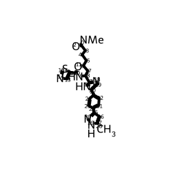 CNC(=O)CCCCCC(NC(=O)c1cncs1)c1ncc(-c2ccc(-c3cc(C)[nH]n3)cc2)[nH]1